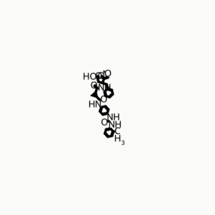 Cc1ccccc1NC(=O)Nc1ccc(NC(=O)C2CC2C(=O)NC(CC(=O)O)(Cc2ccccc2)C2=COCO2)cc1